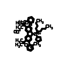 CCCC[C](CCCC)=[Zr+2]([C]1=CC=CC1)[CH]1c2cc(-c3ccccc3C)c(C(C)(C)C)cc2-c2cc(C(C)(C)C)c(-c3ccccc3C)cc21.[Cl-].[Cl-]